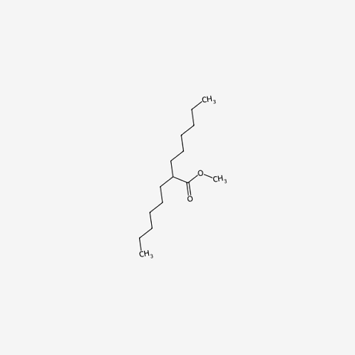 CCCCCCC(CCCCCC)C(=O)OC